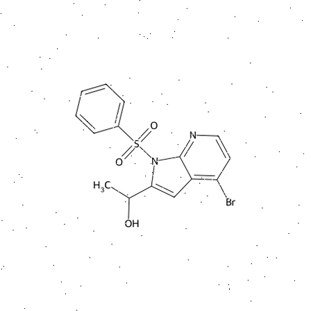 CC(O)c1cc2c(Br)ccnc2n1S(=O)(=O)c1ccccc1